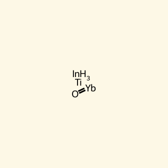 [InH3].[O]=[Yb].[Ti]